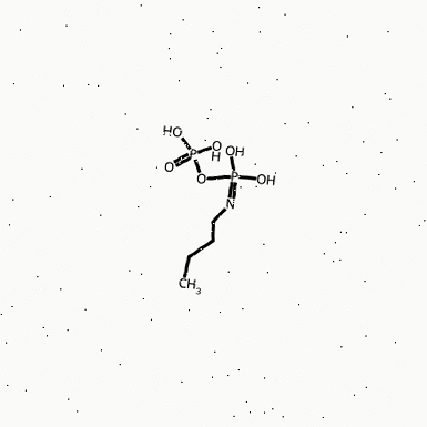 CCCCN=P(O)(O)OP(=O)(O)O